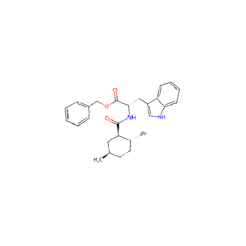 CC(C)[C@@H]1CC[C@@H](C)C[C@H]1C(=O)N[C@@H](Cc1c[nH]c2ccccc12)C(=O)OCc1ccccc1